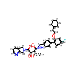 CO[C@@H](C(=O)NCc1ccc(-c2ccc(F)cc2OCCC2CCCCC2)cc1)[C@@H](O)C(=O)N1Cc2cccnc2C1